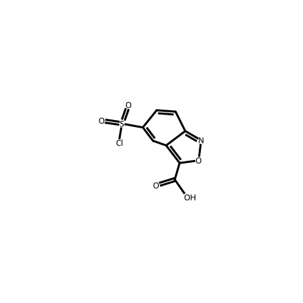 O=C(O)c1onc2ccc(S(=O)(=O)Cl)cc12